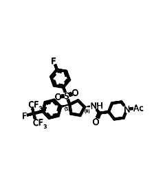 CC(=O)N1CCC(C(=O)N[C@@H]2CC[C@](c3ccc(C(F)(C(F)(F)F)C(F)(F)F)cc3)(S(=O)(=O)c3ccc(F)cc3)C2)CC1